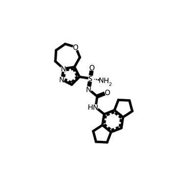 N[S@](=O)(=NC(=O)Nc1c2c(cc3c1CCC3)CCC2)c1cnn2c1COCCC2